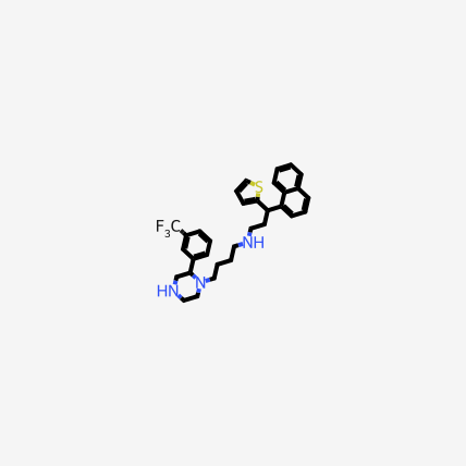 FC(F)(F)c1cccc(C2CNCCN2CCCCNCCC(c2cccs2)c2cccc3ccccc23)c1